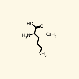 NCCC[C@@H](N)C(=O)O.[CaH2]